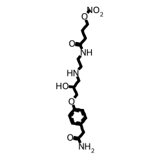 NC(=O)Cc1ccc(OCC(O)CNCCNC(=O)CCCO[N+](=O)[O-])cc1